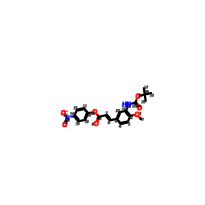 COc1ccc(/C=C/C(=O)Oc2ccc([N+](=O)[O-])cc2)cc1NC(=O)OC(C)(C)C